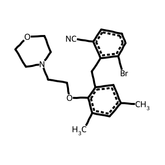 Cc1cc(C)c(OCCN2CCOCC2)c(Cc2c(Br)cccc2C#N)c1